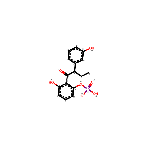 CCC(C(=O)c1c(O)cccc1OP(=O)(O)O)c1cccc(O)c1